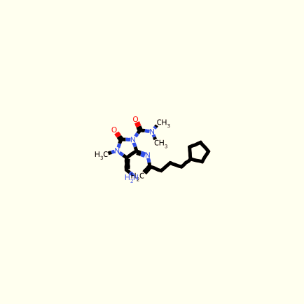 C=C(CCCC1CCCC1)/N=C1\C(=C/N)N(C)C(=O)N1C(=O)N(C)C